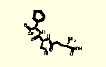 N[C@@H](CCC(=O)N[C@@H](CS)C(=O)NC(C(=O)O)c1ccccc1)C(=O)O